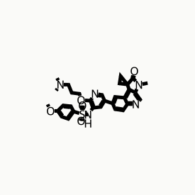 COc1ccc(S(=O)(=O)Nc2cc(-c3ccc4ncc5c(c4c3)C3(CC3)C(=O)N5C)cnc2OCCCN(C)C)cc1